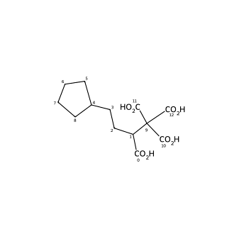 O=C(O)C(CCC1CCCC1)C(C(=O)O)(C(=O)O)C(=O)O